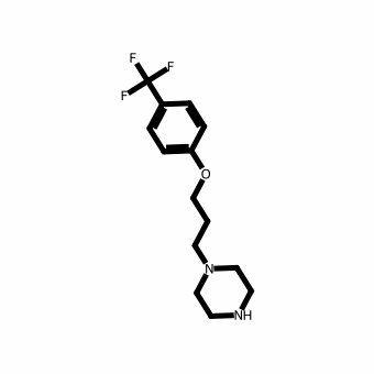 FC(F)(F)c1ccc(OCCCN2CCNCC2)cc1